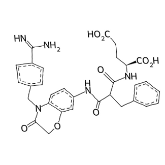 N=C(N)c1ccc(CN2C(=O)COc3cc(NC(=O)C(Cc4ccccc4)C(=O)N[C@@H](CCC(=O)O)C(=O)O)ccc32)cc1